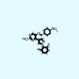 Cl.N[C@H]1CC[C@@H](COc2cncnc2-c2cnn(-c3c(F)cccc3F)c2)CC1